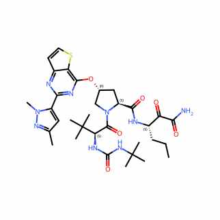 CCC[C@H](NC(=O)[C@@H]1C[C@@H](Oc2nc(-c3cc(C)nn3C)nc3ccsc23)CN1C(=O)[C@@H](NC(=O)NC(C)(C)C)C(C)(C)C)C(=O)C(N)=O